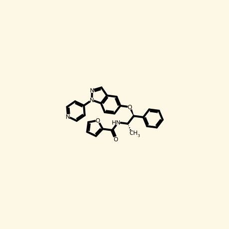 C[C@H](NC(=O)c1ccco1)[C@@H](Oc1ccc2c(cnn2-c2ccncc2)c1)c1ccccc1